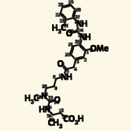 COc1cc(CC(=O)NCCCN(C)C(=O)N[C@@H](C)CC(=O)O)ccc1NC(=O)Nc1ccccc1C